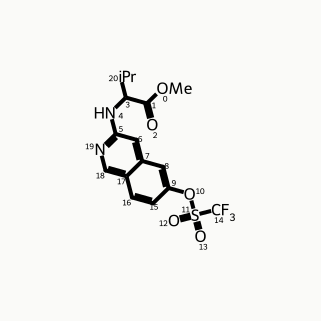 COC(=O)C(Nc1cc2cc(OS(=O)(=O)C(F)(F)F)ccc2cn1)C(C)C